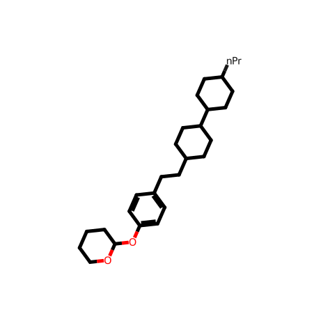 CCCC1CCC(C2CCC(CCc3ccc(OC4CCCCO4)cc3)CC2)CC1